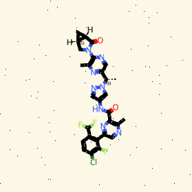 Cc1ncc(-c2c(C(F)F)ccc(Cl)c2F)nc1C(=O)Nc1cnn([C@@H](C)c2cnc(N3C[C@H]4C[C@H]4C3=O)c(C)n2)c1